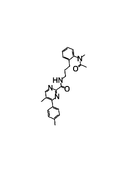 CC(=O)N(C)c1ccccc1CCCNC(=O)c1ncc(C)c(-c2ccc(C)cc2)n1